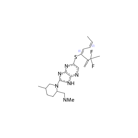 C=C(/C(=C\C=C/C)Sc1cnc2[nH]c(N3CC(C)CCC3CNC)nc2n1)C(C)(F)F